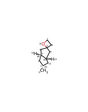 C[C@@H]1C[C@@H]2CC3(CCO3)C[C@@H]2C1